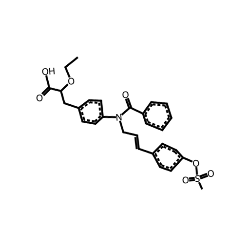 CCOC(Cc1ccc(N(C/C=C/c2ccc(OS(C)(=O)=O)cc2)C(=O)c2ccccc2)cc1)C(=O)O